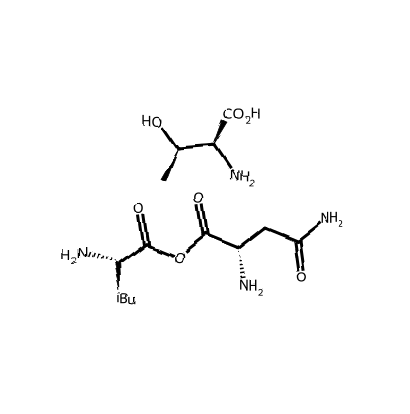 CC[C@H](C)[C@H](N)C(=O)OC(=O)[C@@H](N)CC(N)=O.C[C@@H](O)[C@H](N)C(=O)O